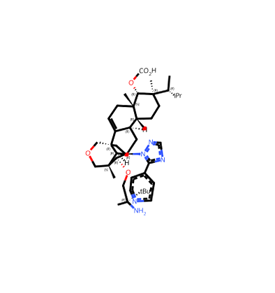 CC(C)[C@@H](C)[C@@]1(C)CC[C@]2(C)[C@H]3CC[C@@H]4[C@@]5(COC[C@@]4(C)[C@@H](OC[C@](C)(N)C(C)(C)C)[C@H](n4ncnc4-c4ccncc4)C5)C3=CC[C@]2(C)[C@@H]1OC(=O)O